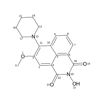 COc1cc2c3c(cccc3c1N1CCCCC1)C(=O)N(O)C2=O